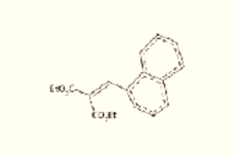 CCOC(=O)C(=Cc1cccc2ccccc12)C(=O)OCC